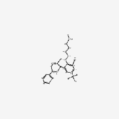 CCC(N[C@H](CO)c1ccccc1)c1cc(C(C)(C)C)cc(Br)c1OCOCCOC